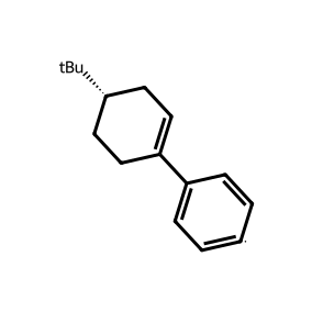 CC(C)(C)[C@@H]1CC=C(c2cc[c]cc2)CC1